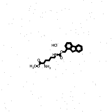 COC(=O)[C@@H](N)CCCCNC(=O)OCc1cccc2c1Cc1ccccc1-2.Cl